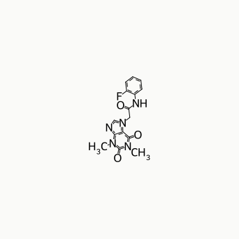 Cn1c(=O)c2c(ncn2CC(=O)Nc2ccccc2F)n(C)c1=O